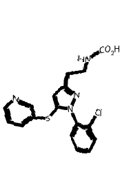 O=C(O)NCCc1cc(Sc2cccnc2)n(-c2ccccc2Cl)n1